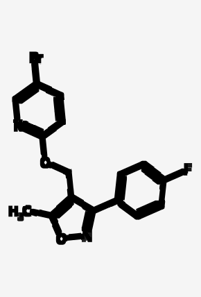 Cc1onc(-c2ccc(F)cc2)c1COc1ccc(Br)cn1